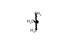 [CH2]CCc1c(CCCCCCC)cccc1CCCCCCC